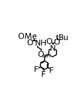 COC(=O)NCCO[C@@H](c1cc(F)c(F)c(F)c1)[C@@H]1CCCN(C(=O)OC(C)(C)C)C1